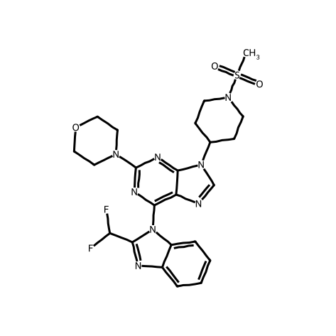 CS(=O)(=O)N1CCC(n2cnc3c(-n4c(C(F)F)nc5ccccc54)nc(N4CCOCC4)nc32)CC1